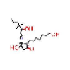 CCCC(C)(C)[C@@H](O)C/C=C/[C@H]1[C@H](O)CC(=O)[C@@H]1CCCCCCCO